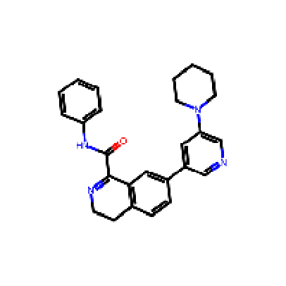 O=C(Nc1ccccc1)C1=NCCc2ccc(-c3cncc(N4CCCCC4)c3)cc21